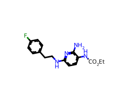 CCOC(=O)Nc1ccc(NCCc2ccc(F)cc2)nc1N